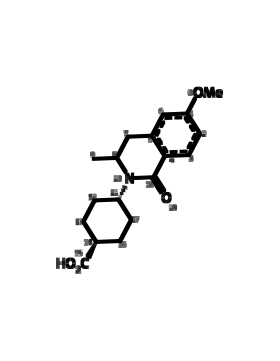 COc1ccc2c(c1)CC(C)N([C@H]1CC[C@H](C(=O)O)CC1)C2=O